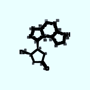 CC[C@@H]1CC(=O)C[C@@H]1c1nnc2cnc3[nH]ccc3n12